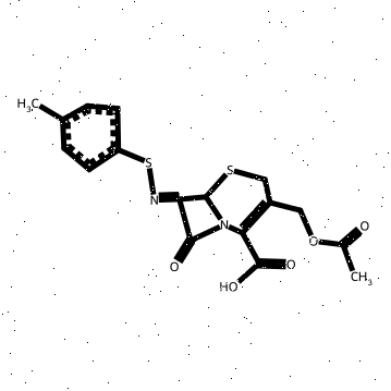 CC(=O)OCC1=C(C(=O)O)N2C(=O)C(=NSc3ccc(C)cc3)C2SC1